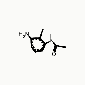 CC(=O)Nc1cccc(N)c1C